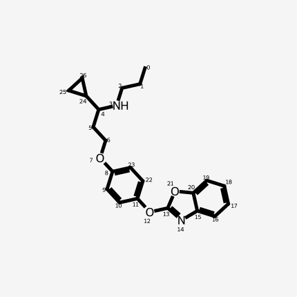 CCCNC(CCOc1ccc(Oc2nc3ccccc3o2)cc1)C1CC1